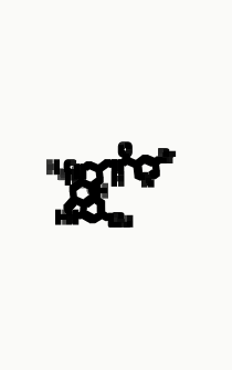 CN1CC(CNC(=O)c2cncc(Br)c2)C[C@@H]2c3cc(C(C)(C)C)cc4[nH]cc(c34)C[C@H]21